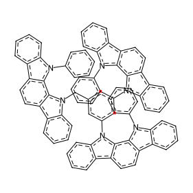 c1ccc(-n2c3ccccc3c3ccc4c5ccccc5n(Cc5cc(-n6c7ccccc7c7ccc8c9ccccc9n(-c9ccccc9)c8c76)cc(-n6c7ccccc7c7ccc8c9ccccc9n(-c9ccccc9)c8c76)c5)c4c32)cc1